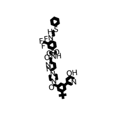 CC(C)(C)c1cc(C(=O)N2CCN(c3ccc(C(=O)NS(=O)(=O)c4ccc(NCCSc5ccccc5)c(C(F)(F)F)c4)nn3)CC2)cc(-c2cncc(O)c2)c1